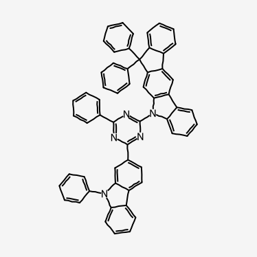 c1ccc(-c2nc(-c3ccc4c5ccccc5n(-c5ccccc5)c4c3)nc(-n3c4ccccc4c4cc5c(cc43)C(c3ccccc3)(c3ccccc3)c3ccccc3-5)n2)cc1